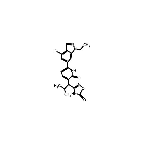 CCn1ncc2c(F)cc(-c3ccc(C(c4noc(=O)[nH]4)C(C)C)c(=O)[nH]3)cc21